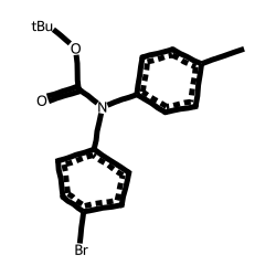 Cc1ccc(N(C(=O)OC(C)(C)C)c2ccc(Br)cc2)cc1